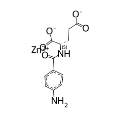 Nc1ccc(C(=O)N[C@@H](CCC(=O)[O-])C(=O)[O-])cc1.[Zn+2]